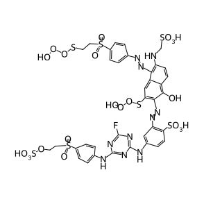 O=S(=O)(O)CNc1ccc2c(O)c(/N=N/c3cc(Nc4nc(F)nc(Nc5ccc(S(=O)(=O)CCOS(=O)(=O)O)cc5)n4)ccc3S(=O)(=O)O)c(SOOO)cc2c1/N=N/c1ccc(S(=O)(=O)CCSOOO)cc1